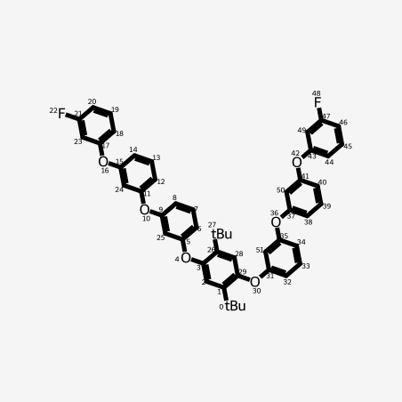 CC(C)(C)c1cc(Oc2cccc(Oc3cccc(Oc4cccc(F)c4)c3)c2)c(C(C)(C)C)cc1Oc1cccc(Oc2cccc(Oc3cccc(F)c3)c2)c1